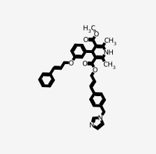 COC(=O)C1=C(C)NC(C)=C(C(=O)OCC=Cc2ccc(Cn3ccnc3)cc2)C1c1cccc(OCC=Cc2ccccc2)c1